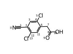 N#Cc1cc(Cl)c(CC(=O)O)cc1Cl